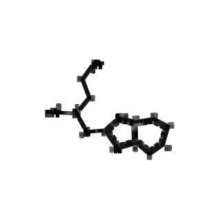 CCCN(CCC(C)C)Sc1nc2ccccc2s1